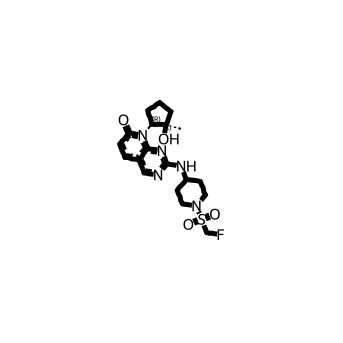 C[C@@]1(O)CCC[C@H]1n1c(=O)ccc2cnc(NC3CCN(S(=O)(=O)CF)CC3)nc21